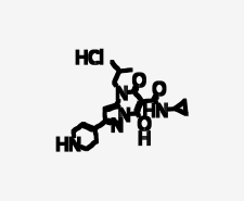 CC(C)Cn1c(=O)c(C(=O)NC2CC2)c(O)n2nc(C3=CCNCC3)cc12.Cl